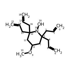 C=CCC1(CC=C)CC(OC)CC(CC=C)(CC=C)N1O